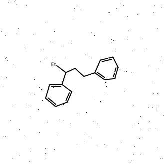 [CH2]CC(CCc1ccccc1)c1ccccc1